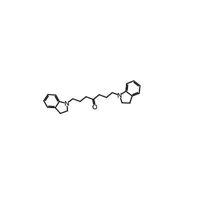 O=C(CCCN1CCc2ccccc21)CCCN1CCc2ccccc21